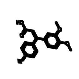 COc1ccc(C(=CC(=O)O)c2ccc(Br)cc2)cc1OC